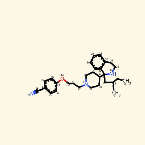 CCC(C)CC1(C2CCN(CCCOc3ccc(C#N)cc3)CC2)NCCc2ccccc21